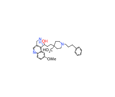 COc1ccc2ncc(CN)c([C@@H](O)CCC3(C(=O)O)CCN(CCCc4ccccc4)CC3)c2c1